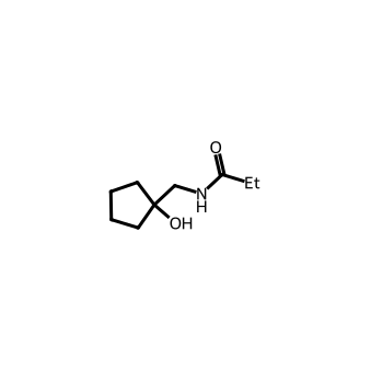 CCC(=O)NCC1(O)CCCC1